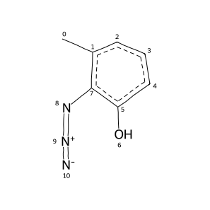 Cc1cccc(O)c1N=[N+]=[N-]